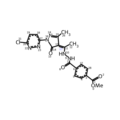 COC(=O)c1ccc(C(=O)NN/C(C)=C2\C(=O)N(c3ccc(Cl)nn3)N=C2C)cc1